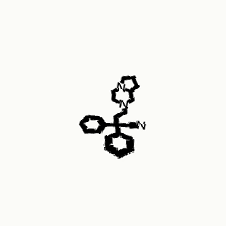 N#CC(CCN1CCN2CCCC2C1)(c1ccccc1)c1ccccc1